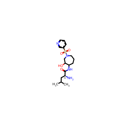 CC(C)C[C@H](N)C(=O)NC1CCCN(S(=O)(=O)c2cccnc2)CC1O